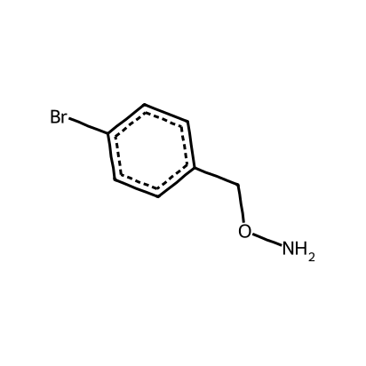 NOCc1ccc(Br)cc1